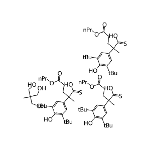 CC(CO)(CO)CO.CCCOC(=O)CCC(C)(C(O)=S)c1cc(C(C)(C)C)c(O)c(C(C)(C)C)c1.CCCOC(=O)CCC(C)(C(O)=S)c1cc(C(C)(C)C)c(O)c(C(C)(C)C)c1.CCCOC(=O)CCC(C)(C(O)=S)c1cc(C(C)(C)C)c(O)c(C(C)(C)C)c1